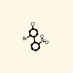 O=[N+]([O-])c1ccccc1-c1ccc(Cl)cc1Br